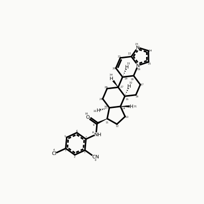 N#Cc1cc(Cl)ccc1NC(=O)[C@@H]1CC[C@H]2[C@@H]3CCC4[C@H](C=Cc5nccn54)[C@H]3CC[C@@H]21